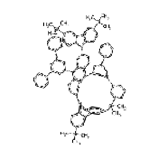 C[Si](C)(C)c1ccc2c(c1)c1cc([Si](C)(C)C)ccc1n2-c1ccc2c3c4cc(ccc4c(-c4cc(-c5ccccc5)cc(-c5ccccc5)c4)c2c1)-n1c2ccc([Si](C)(C)C)cc2c2cc(ccc21)[Si](C)(C)c1cccc(c1)-c1cc(-c2ccccc2)cc-3c1